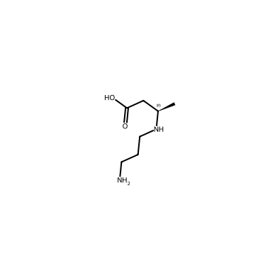 C[C@H](CC(=O)O)NCCCN